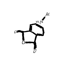 CC(N)=O.O=C1OC(=O)c2ccccc21